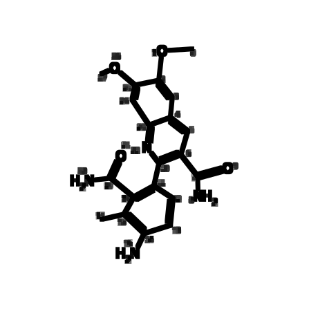 COc1cc2cc(C(N)=O)c(-c3ccc(N)c(C)c3C(N)=O)nc2cc1OC